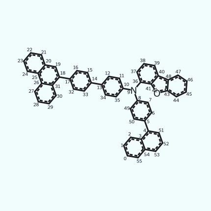 c1ccc2c(-c3ccc(N(c4ccc(-c5ccc(-c6cc7ccccc7c7ccccc67)cc5)cc4)c4cccc5c4oc4ccccc45)cc3)cccc2c1